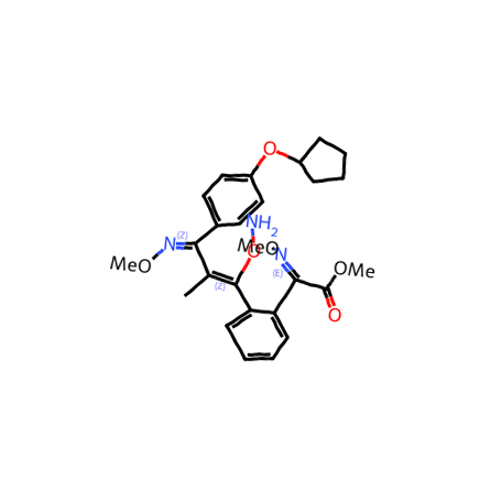 CO/N=C(\C(C)=C(/ON)c1ccccc1/C(=N\OC)C(=O)OC)c1ccc(OC2CCCC2)cc1